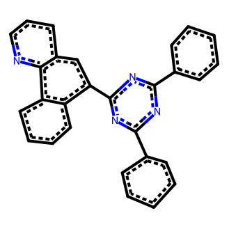 c1ccc(-c2nc(-c3ccccc3)nc(-c3cc4cccnc4c4ccccc34)n2)cc1